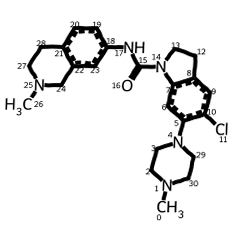 CN1CCN(c2cc3c(cc2Cl)CCN3C(=O)Nc2ccc3c(c2)CN(C)CC3)CC1